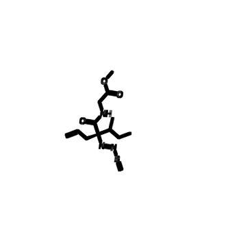 C=BN=N[C@](CC=C)(C(=O)NCC(=O)OC)C(C)CC